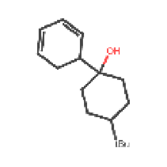 CC(C)(C)C1CCC(O)(C2C=CC=CC2)CC1